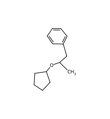 CC(Cc1ccccc1)OC1CCCC1